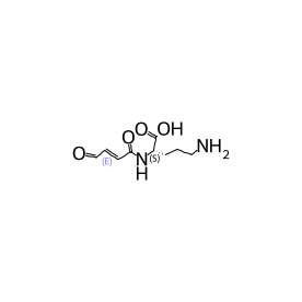 NCCC[C@H](NC(=O)/C=C/C=O)C(=O)O